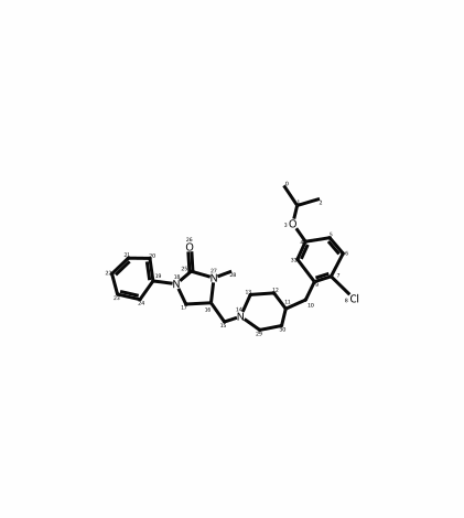 CC(C)Oc1ccc(Cl)c(CC2CCN(CC3CN(c4ccccc4)C(=O)N3C)CC2)c1